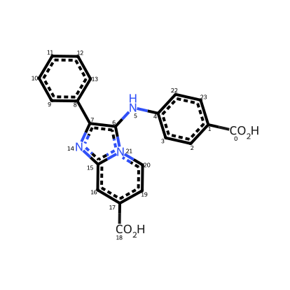 O=C(O)c1ccc(Nc2c(-c3ccccc3)nc3cc(C(=O)O)ccn23)cc1